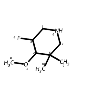 COC1C(F)CNCC1(C)C